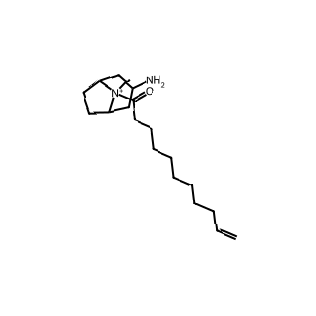 C=CCCCCCCCCC(=O)[N+]1(C)C2CCC1CC(N)C2